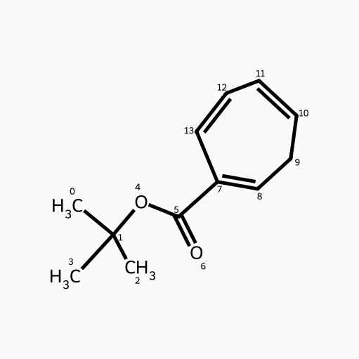 CC(C)(C)OC(=O)C1=CCC=CC=C1